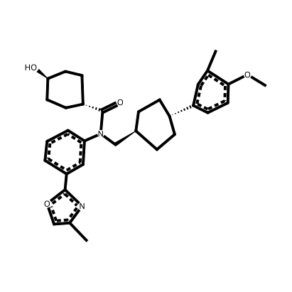 COc1ccc([C@H]2CC[C@H](CN(c3cccc(-c4nc(C)co4)c3)C(=O)[C@H]3CC[C@H](O)CC3)CC2)cc1C